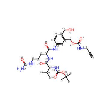 C#CCNC(=O)OCc1cc(NC(=O)C(CCCNC(N)=O)NC(=O)C(NC(=O)OC(C)(C)C)C(C)C)ccc1CO